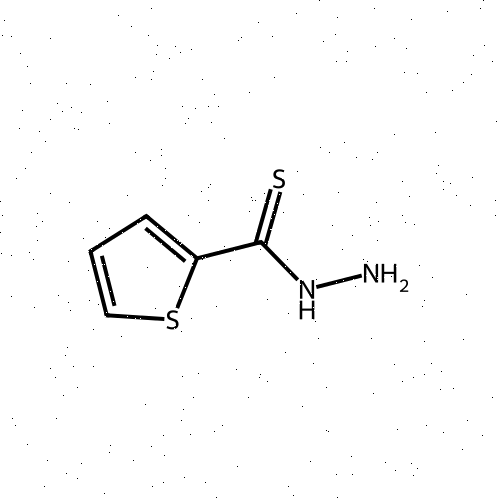 NNC(=S)c1cccs1